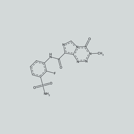 Cn1nnc2c(C(=O)Nc3cccc(S(N)(=O)=O)c3F)ncn2c1=O